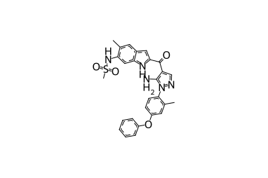 Cc1cc2cc(C(=O)c3cnn(-c4ccc(Oc5ccccc5)cc4C)c3N)[nH]c2cc1NS(C)(=O)=O